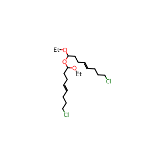 CCOC(CCC=CCCCCl)OC(CCC=CCCCCl)OCC